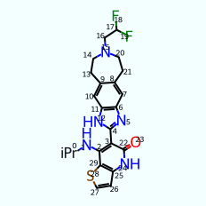 CC(C)Nc1c(-c2nc3cc4c(cc3[nH]2)CCN(CC(F)F)CC4)c(=O)[nH]c2ccsc12